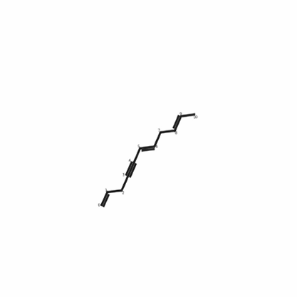 C=CCC#CC=CCC=CC